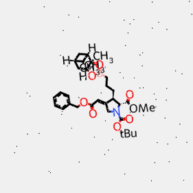 COC(=O)[C@H]1[C@H](CCCB2O[C@@H]3C[C@@H]4C[C@@H](C4(C)C)[C@]3(C)O2)/C(=C/C(=O)OCc2ccccc2)CN1C(=O)OC(C)(C)C